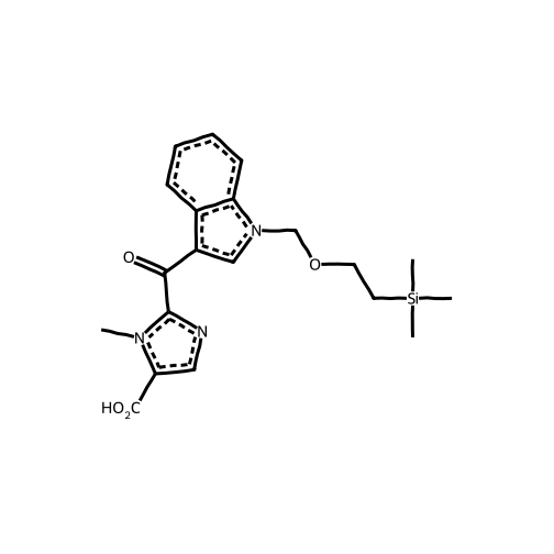 Cn1c(C(=O)O)cnc1C(=O)c1cn(COCC[Si](C)(C)C)c2ccccc12